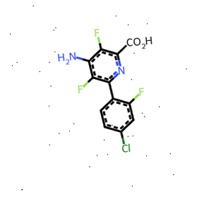 Nc1c(F)c(C(=O)O)nc(-c2ccc(Cl)cc2F)c1F